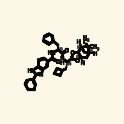 CC1(C)[C@H]2C[C@@H]1C1OB([C@H](CC3CCC3)NC(=O)[C@H](Cc3ccccc3)NC(=O)c3ccc4[nH]c(-c5ccccc5)nc4c3)O[C@@H]1C2